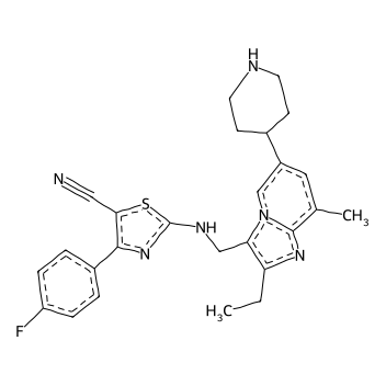 CCc1nc2c(C)cc(C3CCNCC3)cn2c1CNc1nc(-c2ccc(F)cc2)c(C#N)s1